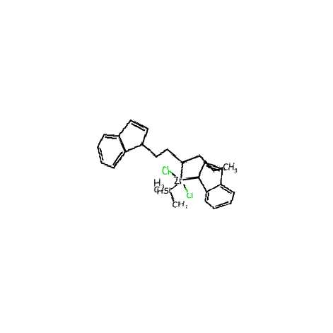 CCC[CH](CCC1C=Cc2ccccc21)[Zr]([Cl])([Cl])([CH]1C=Cc2ccccc21)[SiH](C)C